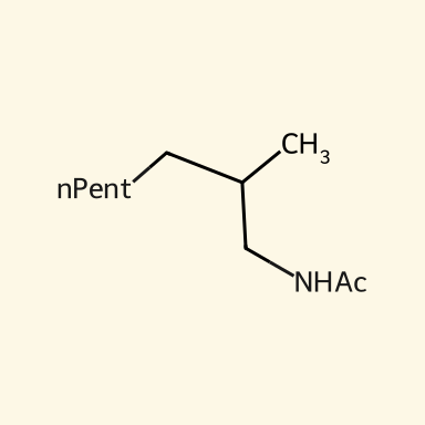 CCCCCCC(C)CNC(C)=O